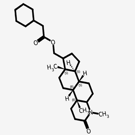 CN1C(=O)CC[C@@]2(C)C1CC[C@@H]1[C@H]2CC[C@]2(C)C(COC(=O)CC3CCCCC3)CC[C@@H]12